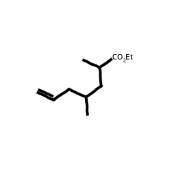 C=CCC(C)CC(C)C(=O)OCC